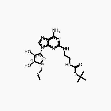 CSC[C@H]1O[C@@H](n2cnc3c(N)nc(NCCNC(=O)OC(C)(C)C)nc32)[C@H](O)[C@@H]1O